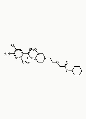 COc1nc(N)c(Cl)cc1C(=O)N[C@@H]1CCN(CCOCC(=O)OC2CCCCC2)C[C@@H]1OC